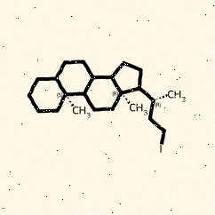 C[C@H](CCI)C1CCC2C3CCC4CCCC[C@]4(C)C3CC[C@@]21C